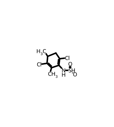 CC1=C(Cl)C(C)CC(Cl)=C1N[SH](=O)=O